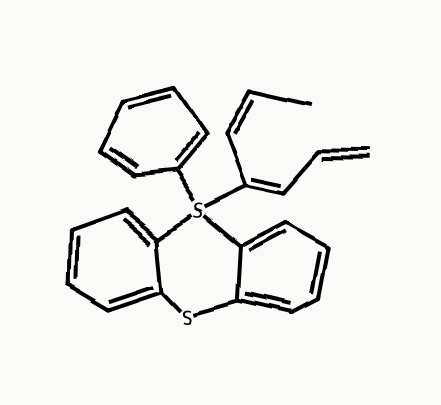 C=C/C=C(\C=C/C)S1(c2ccccc2)c2ccccc2Sc2ccccc21